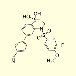 COc1ccc(S(=O)(=O)N2CCS(O)(O)c3ccc(-c4ccc(C#N)cc4)cc32)cc1F